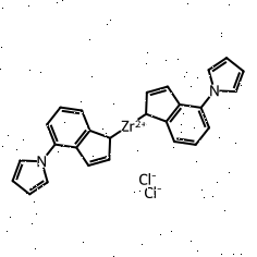 C1=C[CH]([Zr+2][CH]2C=Cc3c2cccc3-n2cccc2)c2cccc(-n3cccc3)c21.[Cl-].[Cl-]